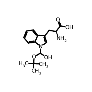 CC(C)(C)OC(O)n1cc(C[C@H](N)C(=O)O)c2ccccc21